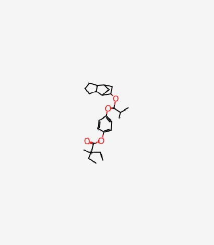 CCC(C)(CC)C(=O)Oc1ccc(OC(OC2CC3CC2C2CCCC32)C(C)C)cc1